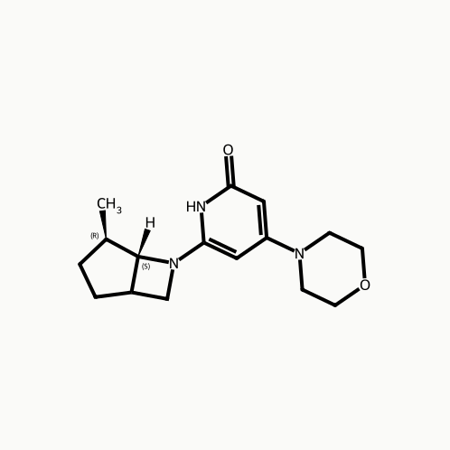 C[C@@H]1CCC2CN(c3cc(N4CCOCC4)cc(=O)[nH]3)[C@H]21